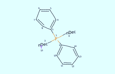 CCCCCCCCCC[P+](CCCCCCCCCC)(c1ccccc1)c1ccccc1.[I-]